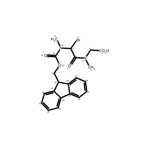 CC(C)C(C(=O)N(C)CC(=O)O)N(C)C(=O)OCC1c2ccccc2-c2ccccc21